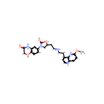 COc1ccc2nccc(CCNCCC3CN(c4ccc5c(c4)NC(=O)CO5)C(=O)O3)c2n1